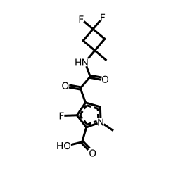 Cn1cc(C(=O)C(=O)NC2(C)CC(F)(F)C2)c(F)c1C(=O)O